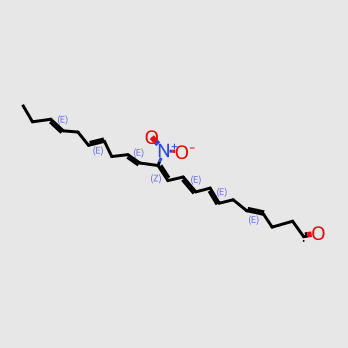 CC/C=C/C/C=C/C/C=C/C(=C/C=C/C=C/C/C=C/CC[C]=O)[N+](=O)[O-]